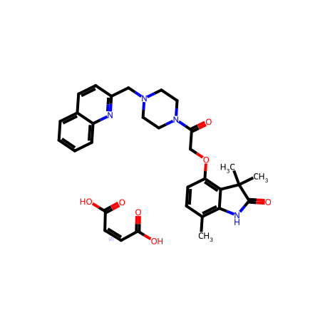 Cc1ccc(OCC(=O)N2CCN(Cc3ccc4ccccc4n3)CC2)c2c1NC(=O)C2(C)C.O=C(O)/C=C\C(=O)O